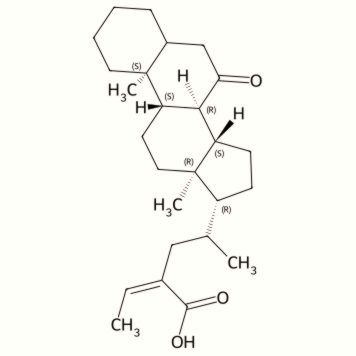 CC=C(CC(C)[C@H]1CC[C@H]2[C@@H]3C(=O)CC4CCCC[C@]4(C)[C@H]3CC[C@]12C)C(=O)O